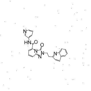 O=C(Nc1cccnc1)c1cccc2nn(CCc3ccc4ccccc4n3)c(=O)n12